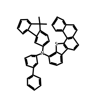 CC1(C)c2ccccc2-c2cc(N(c3cccc(-c4ccccc4)c3)c3cccc4c3sc3c4ccc4ccc5ccccc5c43)ccc21